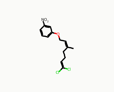 CC(=CCOc1cccc([N+](=O)[O-])c1)CCC=C(Cl)Cl